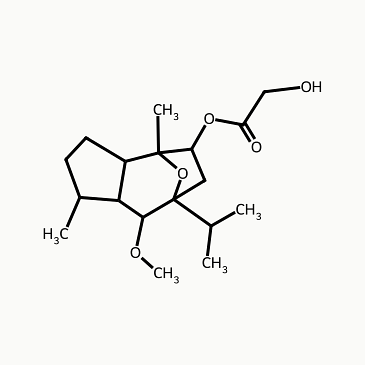 COC1C2C(C)CCC2C2(C)OC1(C(C)C)CC2OC(=O)CO